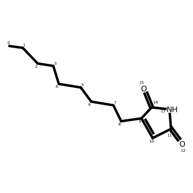 CCCCCCCCCC1=CC(=O)NC1=O